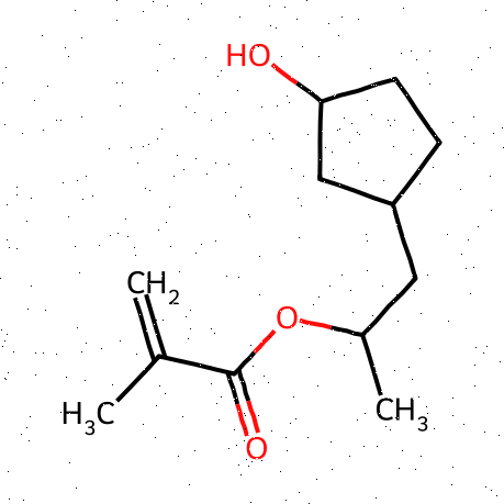 C=C(C)C(=O)OC(C)CC1CCC(O)C1